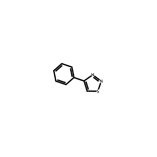 [c]1snnc1-c1ccccc1